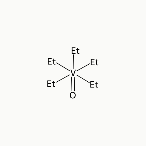 C[CH2][V](=[O])([CH2]C)([CH2]C)([CH2]C)[CH2]C